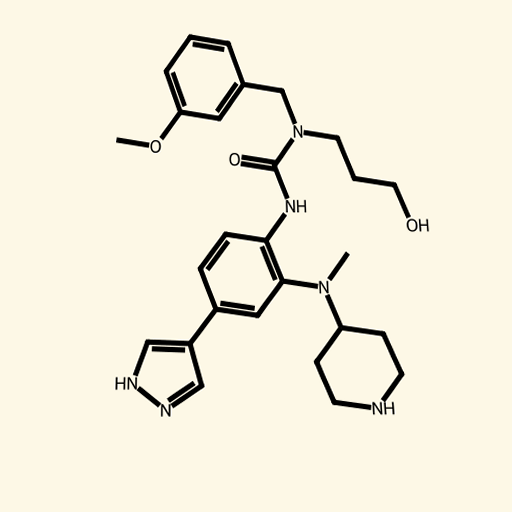 COc1cccc(CN(CCCO)C(=O)Nc2ccc(-c3cn[nH]c3)cc2N(C)C2CCNCC2)c1